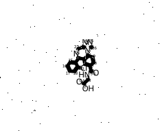 O=C(O)CNC(=O)c1ccc2c(c1)C(c1ccccc1Cl)=NCc1nncn1-2